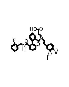 CCOc1cc(CCN(CCC(=O)O)C(=O)c2ccccc2-c2ccccc2C(=O)NCc2ccccc2F)ccc1OC